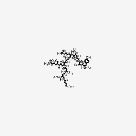 CCCCCCCCCCCCCC(=O)NCC(CC(=O)NC(C)CC(=O)NC(CC(=O)NC(CCCCN)CC(=O)O)C(=O)NCCNC(=O)C(CCCNC(=N)N)NC(=O)C(CO)NC(=O)CNC(=O)C(NC(=O)C(Cc1ccc(O)cc1)NC(C)=O)C(C)CC)NC(C)=O